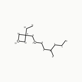 CCCC(C)CCOCC1(CC)COC1